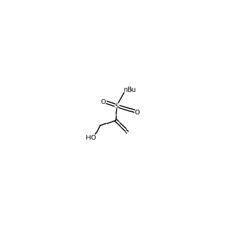 C=C(CO)S(=O)(=O)CCCC